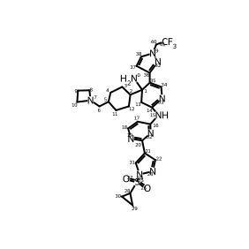 NC1(C2CCC(CN3CCC3)CC2)CC(Nc2ccnc(-c3cnn(S(=O)(=O)C4CC4)c3)n2)=NC=C1c1ccn(CC(F)(F)F)n1